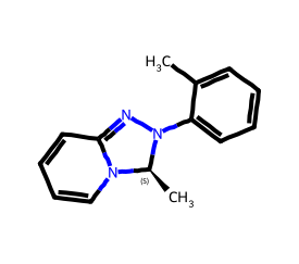 Cc1ccccc1N1N=C2C=CC=CN2[C@@H]1C